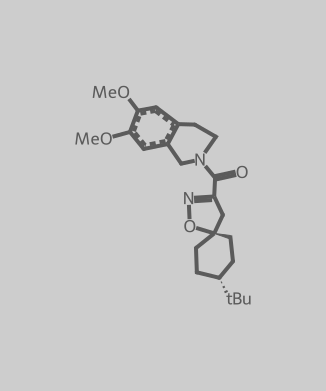 COc1cc2c(cc1OC)CN(C(=O)C1=NO[C@]3(CC[C@H](C(C)(C)C)CC3)C1)CC2